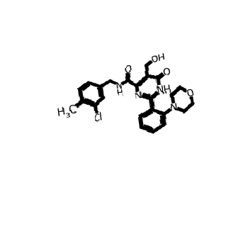 Cc1ccc(CNC(=O)c2nc(-c3ccccc3N3CCOCC3)[nH]c(=O)c2CO)cc1Cl